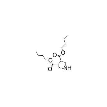 CCCCOC(=O)C1CNC[C@@H]1C(=O)OCCCC